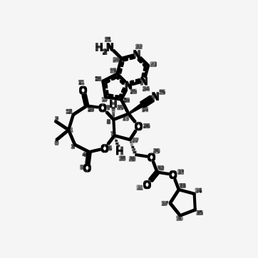 CC1(C)CC(=O)O[C@H]2[C@@H](OC(=O)C1)[C@](C#N)(c1ccc3c(N)ncnn13)O[C@@H]2COC(=O)OC1CCCC1